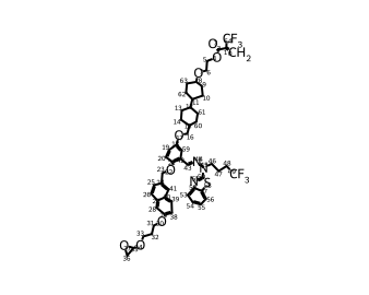 C=C(C(=O)OCCOC1CCC(C2CCC(COc3ccc(OCc4ccc5cc(OCCCOC6CO6)ccc5c4)c(/C=N/N(CCCC(F)(F)F)c4nc5ccccc5s4)c3)CC2)CC1)C(F)(F)F